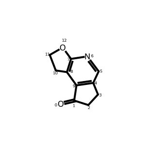 O=C1CCc2cnc3c(c21)CCO3